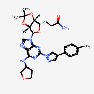 Cc1ccc(-c2cnn(-c3nc(NC4CCOC4)c4ncn([C@@H]5O[C@@H](CCC(N)=O)[C@H]6OC(C)(C)O[C@H]65)c4n3)c2)cc1